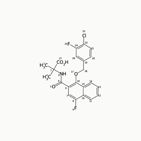 CC(C)(NC(=O)c1cc(F)c2ccccc2c1OCc1ccc(Cl)c(F)c1)C(=O)O